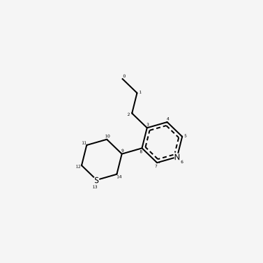 CCCc1ccn[c]c1C1CCCSC1